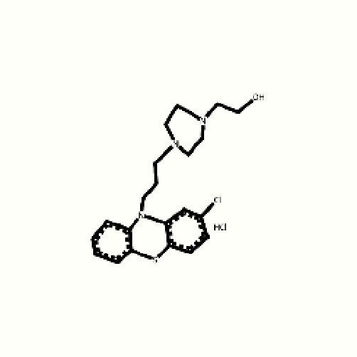 Cl.OCCN1CCN(CCCN2c3ccccc3Sc3ccc(Cl)cc32)CC1